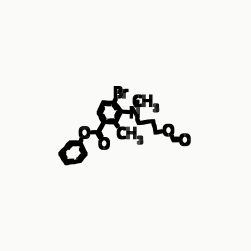 Cc1c(C(=O)Oc2ccccc2)ccc(Br)c1N(C)CCCOC=O